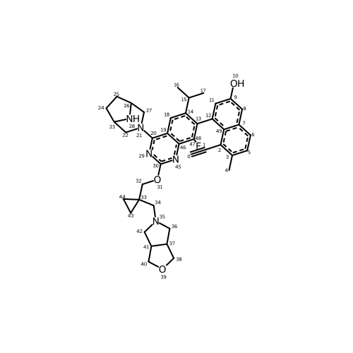 C#Cc1c(C)ccc2cc(O)cc(-c3c(C(C)C)cc4c(N5CC6CCC(C5)N6)nc(OCC5(CN6CC7COCC7C6)CC5)nc4c3F)c12